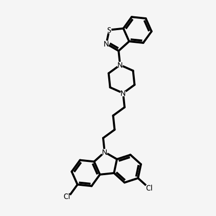 Clc1ccc2c(c1)c1cc(Cl)ccc1n2CCCCN1CCN(c2nsc3ccccc23)CC1